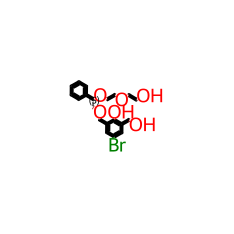 OCCOCCO[C@H](COCc1cc(Br)cc(CO)c1O)c1ccccc1